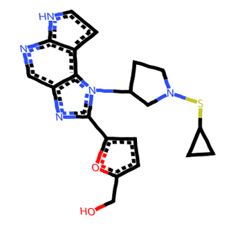 OCc1ccc(-c2nc3cnc4[nH]ccc4c3n2C2CCN(SC3CC3)C2)o1